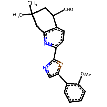 COc1ccccc1-c1cnc(-c2ccc3c(n2)CC(C)(C)CC3C=O)s1